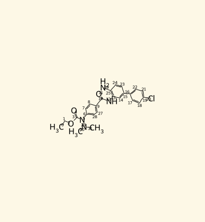 CCOC(=O)N(c1ccc(C(=O)Nc2cc(-c3ccc(Cl)cc3)ccc2N)cc1)N(C)C